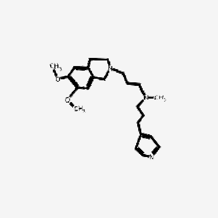 COc1cc2c(cc1OC)CN(CCCN(C)CCCc1ccncc1)CC2